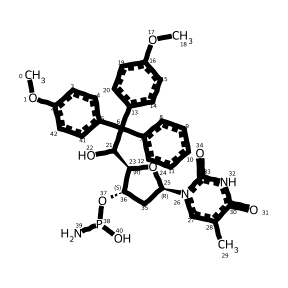 COc1ccc(C(c2ccccc2)(c2ccc(OC)cc2)C(O)[C@H]2O[C@@H](n3cc(C)c(=O)[nH]c3=O)C[C@@H]2OP(N)O)cc1